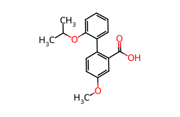 COc1ccc(-c2ccccc2OC(C)C)c(C(=O)O)c1